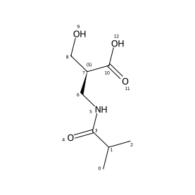 CC(C)C(=O)NC[C@@H](CO)C(=O)O